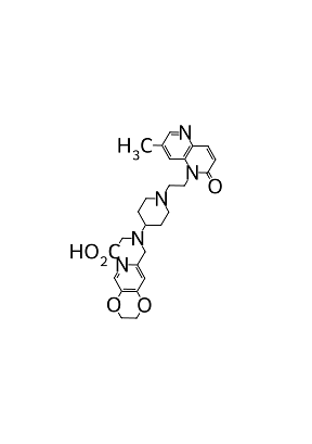 Cc1cnc2ccc(=O)n(CCN3CCC(N(CC(=O)O)Cc4cc5c(cn4)OCCO5)CC3)c2c1